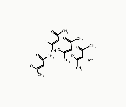 CC(=O)/C=C(/C)[O-].CC(=O)/C=C(/C)[O-].CC(=O)/C=C(/C)[O-].CC(=O)/C=C(/C)[O-].[Th+4]